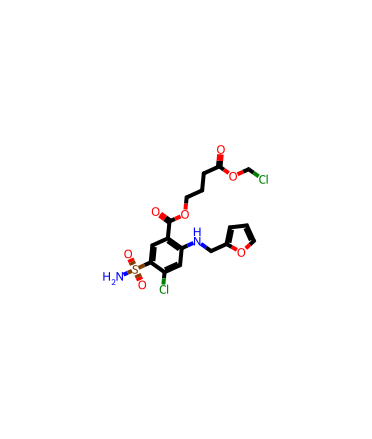 NS(=O)(=O)c1cc(C(=O)OCCCC(=O)OCCl)c(NCc2ccco2)cc1Cl